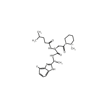 CC(C)CCC(=O)N[C@@H](CC(=O)N1CCCC[C@@H]1C)C(=O)N[C@@H](C)c1nc2c(F)cccc2[nH]1